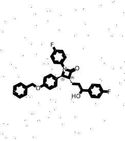 O=C1[C@H](CCC(O)c2ccc(F)cc2)[C@@H](c2ccc(OCc3ccccc3)cc2)N1c1ccc(F)cc1